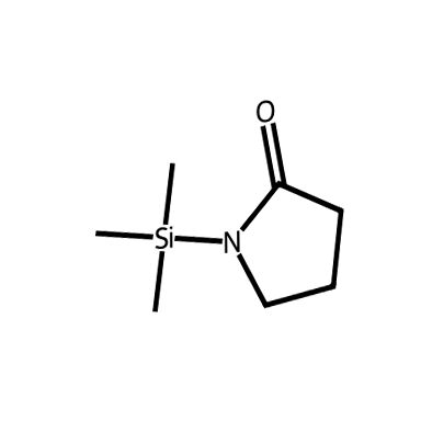 C[Si](C)(C)N1CCCC1=O